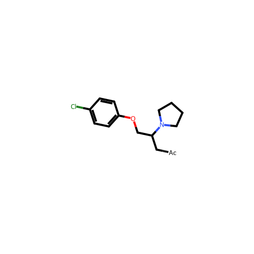 CC(=O)CC(COc1ccc(Cl)cc1)N1CCCC1